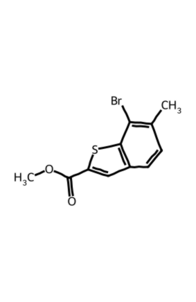 COC(=O)c1cc2ccc(C)c(Br)c2s1